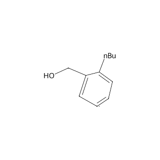 CCCCc1cc[c]cc1CO